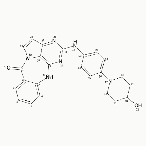 O=C1c2ccccc2Nc2nc(Nc3ccc(N4CCC(O)CC4)cc3)nc3ccn1c23